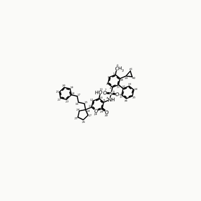 Cc1ccc(S(=O)(=O)Nc2c(O)cc(C3(CCCc4ccccc4)CCCC3)oc2=O)c(-c2ccccc2)c1C1CC1